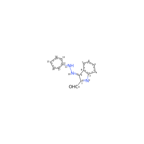 O=CC1=Nc2ccccc2C1=NNc1ccccc1